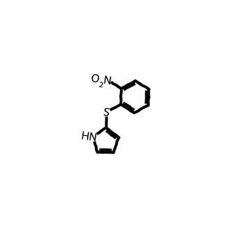 O=[N+]([O-])c1ccccc1Sc1ccc[nH]1